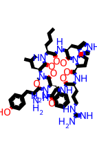 CCCC[C@H](NC(=O)[C@H](CC(C)C)N(C)C(=O)[C@H](Cc1ccccc1)NC(=O)[C@@H](N)Cc1ccc(O)cc1)C(=O)N[C@@H](Cc1c[nH]cn1)C(=O)N1CCC[C@H]1C(=O)N[C@@H](CCCNC(=N)N)C(=O)NCC(N)=O